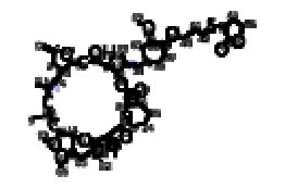 C=CC[C@@H]1/C=C(\C)C[C@H](C)C[C@H](OC)C2O[C@@](O)(C(=O)C(=O)N3CCCC[C@H]3C(=O)O[C@H](/C(C)=C/[C@@H]3CC[C@@H](OCCCS[C@H]4CCOC4=O)[C@H](OC)C3)[C@H](C)[C@@H](O)CC1=O)[C@H](C)C[C@@H]2OC